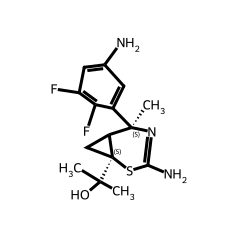 CC(C)(O)[C@]12CC1[C@@](C)(c1cc(N)cc(F)c1F)N=C(N)S2